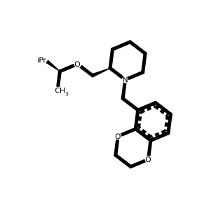 CC(C)[C@H](C)OC[C@H]1CCCCN1Cc1cccc2c1OCCO2